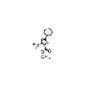 COC(=O)c1sc(C2=CCCCC2)cc1N